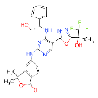 CC1(C)OC(=O)c2ccc(Nc3ncc(-c4nnc(C(C)(O)C(F)(F)F)o4)c(N[C@H](CO)c4ccccc4)n3)cc21